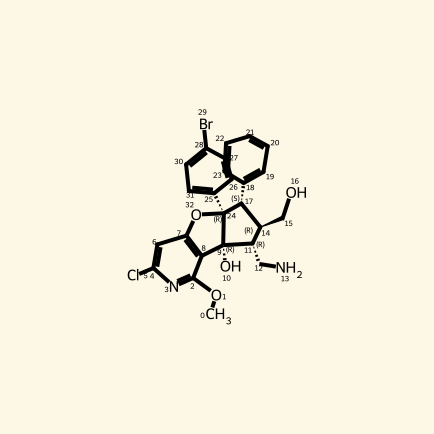 COc1nc(Cl)cc2c1[C@]1(O)[C@@H](CN)[C@H](CO)[C@@H](c3ccccc3)[C@]1(c1ccc(Br)cc1)O2